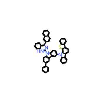 C1=CC2=C(c3ccc4ccccc4c3)N=C(n3c4ccc(-c5ccccc5)cc4c4cc(-n5c6ccccc6c6ccc7c8ccccc8sc7c65)ccc43)NC2C=C1